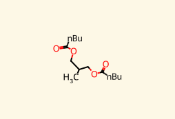 CCCCC(=O)OCC(C)COC(=O)CCCC